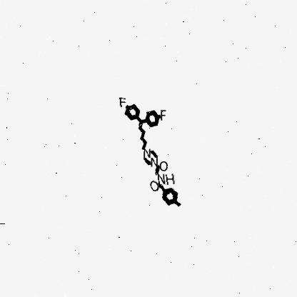 Cc1ccc(C(=O)NCC(=O)N2CCN(CCCCCC(c3ccc(F)cc3)c3ccc(F)cc3)CC2)cc1